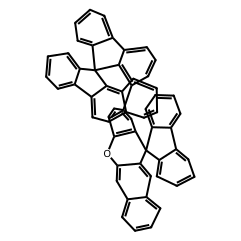 c1ccc2c(c1)-c1ccccc1C21c2cc(-c3cccc4c3C3(c5ccccc5-4)c4ccccc4-c4ccc5ccccc5c43)ccc2Oc2cc3ccccc3cc21